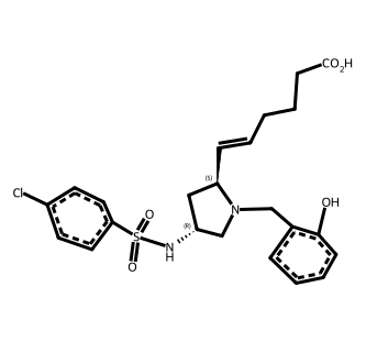 O=C(O)CCCC=C[C@@H]1C[C@@H](NS(=O)(=O)c2ccc(Cl)cc2)CN1Cc1ccccc1O